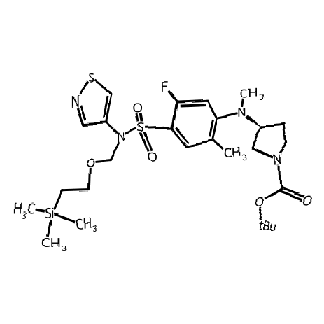 Cc1cc(S(=O)(=O)N(COCC[Si](C)(C)C)c2cnsc2)c(F)cc1N(C)[C@H]1CCN(C(=O)OC(C)(C)C)C1